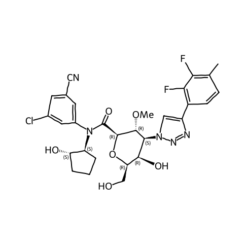 CO[C@@H]1[C@@H](n2cc(-c3ccc(C)c(F)c3F)nn2)[C@@H](O)[C@@H](CO)O[C@H]1C(=O)N(c1cc(Cl)cc(C#N)c1)[C@H]1CCC[C@@H]1O